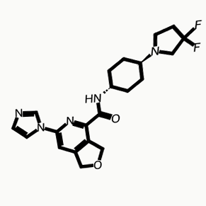 O=C(N[C@H]1CC[C@H](N2CCC(F)(F)C2)CC1)c1nc(-n2ccnc2)cc2c1COC2